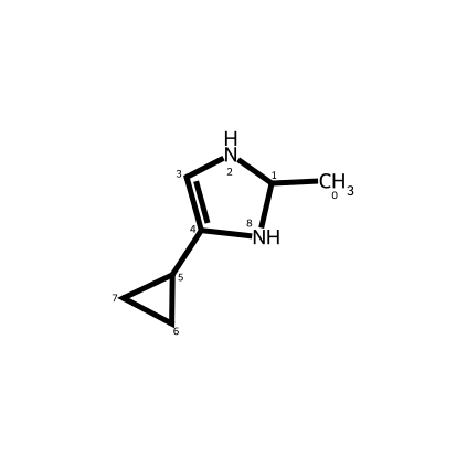 CC1NC=C(C2CC2)N1